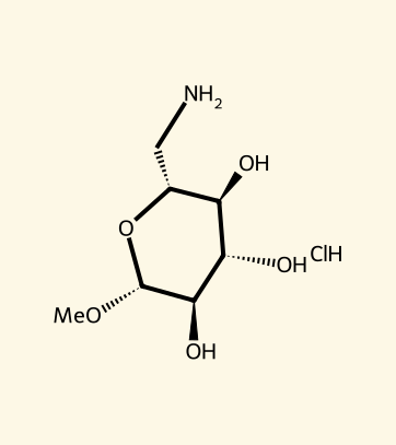 CO[C@@H]1O[C@H](CN)[C@@H](O)[C@H](O)[C@H]1O.Cl